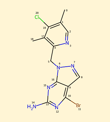 Cc1cnc(Cn2ncc3c(Br)nc(N)nc32)c(C)c1Cl